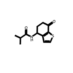 CC(C)C(=O)NC1CCC(=O)c2sccc21